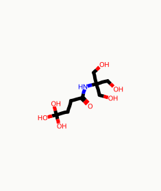 O=C(CCC(O)(O)O)NC(CO)(CO)CO